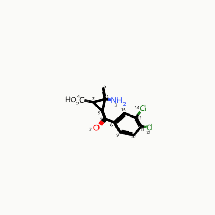 CC1(N)C(C(=O)O)C1C(=O)c1ccc(Cl)c(Cl)c1